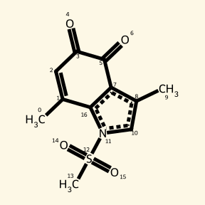 CC1=CC(=O)C(=O)c2c(C)cn(S(C)(=O)=O)c21